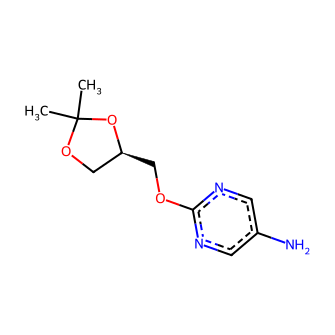 CC1(C)OC[C@H](COc2ncc(N)cn2)O1